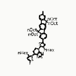 CCCCCCCCC1(CCCCCCCC)c2cc(C)ccc2-c2cc3c(cc21)-c1ccc(-c2cc(CCCCCC)c(-c4ccc(-c5sc(C)cc5CCCCCC)c5nsnc45)s2)cc1C3(CCCCCCCC)CCCCCCCC